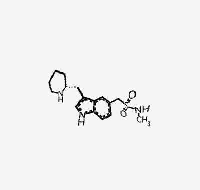 CNS(=O)(=O)Cc1ccc2[nH]cc(C[C@H]3CCCCN3)c2c1